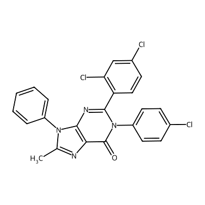 Cc1nc2c(=O)n(-c3ccc(Cl)cc3)c(-c3ccc(Cl)cc3Cl)nc2n1-c1ccccc1